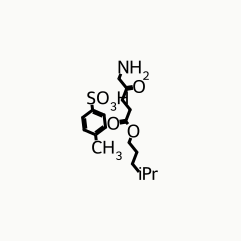 CC(C)CCCOC(=O)CCC(=O)CN.Cc1ccc(S(=O)(=O)O)cc1